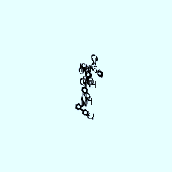 O=C(NS(=O)(=O)c1ccc(N[C@H](CCN2CCCCCC2)CSc2ccccc2)c([N+](=O)[O-])c1)c1ccc2c(c1)CC[C@@H]1CN(Cc3ccccc3-c3ccc(Cl)cc3)CCN21